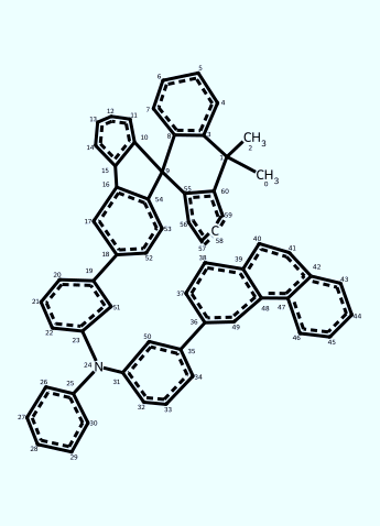 CC1(C)c2ccccc2C2(c3ccccc3-c3cc(-c4cccc(N(c5ccccc5)c5cccc(-c6ccc7ccc8ccccc8c7c6)c5)c4)ccc32)c2ccccc21